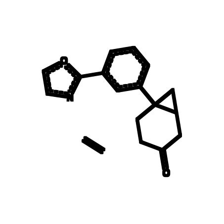 C=C.O=C1CCC2(c3cccc(-c4ncco4)c3)CC2C1